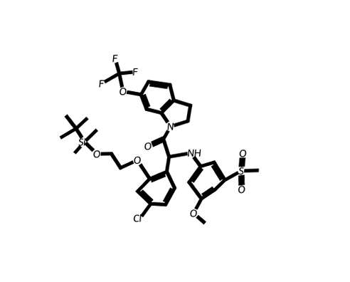 COc1cc(NC(C(=O)N2CCc3ccc(OC(F)(F)F)cc32)c2ccc(Cl)cc2OCCO[Si](C)(C)C(C)(C)C)cc(S(C)(=O)=O)c1